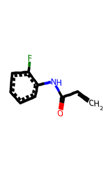 C=CC(=O)Nc1ccccc1F